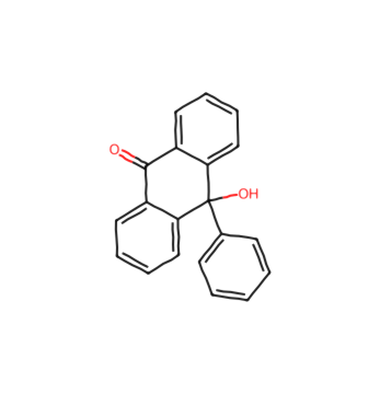 O=C1c2ccccc2C(O)(c2ccccc2)c2ccccc21